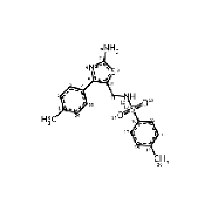 Cc1ccc(-c2nc(N)sc2CNS(=O)(=O)c2ccc(C)cc2)cc1